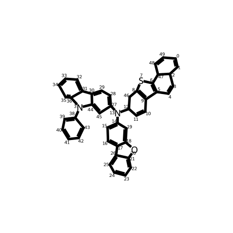 C1=CC2C=Cc3c(sc4c3C=CC(N(c3ccc5c(c3)oc3ccccc35)c3ccc5c6ccccc6n(-c6ccccc6)c5c3)C4)C2C=C1